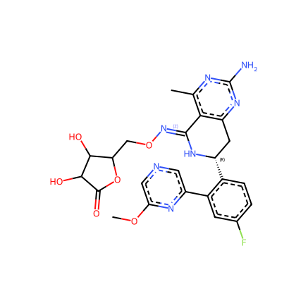 COc1cncc(-c2cc(F)ccc2[C@H]2Cc3nc(N)nc(C)c3/C(=N/OCC3OC(=O)C(O)C3O)N2)n1